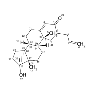 C=CCC1C[C@@]2(C)C(=CC1=O)CC[C@@H]1[C@H]2CC[C@]2(C)C(O)CC[C@@H]12